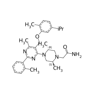 Cc1ccc(C(C)C)cc1OCc1c(C)nc(-c2ccccc2C)nc1N1C[C@H](C)N(CC(N)=O)C[C@H]1C